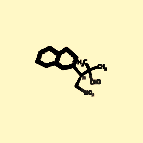 CC(C)(C=O)[C@@H](C[N+](=O)[O-])c1ccc2ccccc2c1